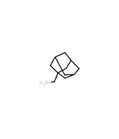 BCC12CC3CC(CC(C3)C1)C2